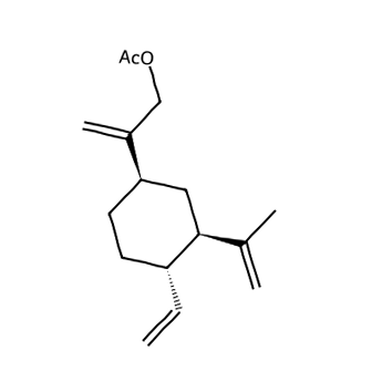 C=C[C@@H]1CC[C@@H](C(=C)COC(C)=O)C[C@H]1C(=C)C